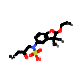 CCOC1Oc2ccc(N(CC(=O)CC)S(=O)(=O)O)cc2C1(C)C